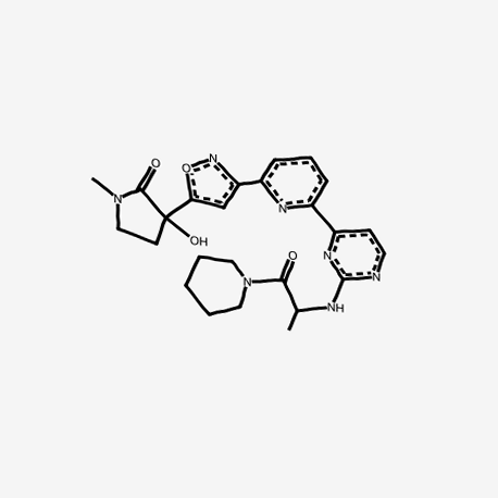 CC(Nc1nccc(-c2cccc(-c3cc(C4(O)CCN(C)C4=O)on3)n2)n1)C(=O)N1CCCCC1